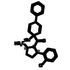 CC(C)(C)C1(C(=O)N2[C@@H](c3ccccc3Cl)CC[C@H]2C(=O)O)C=CC(c2ccccc2)C=C1